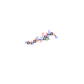 C[C@@H](Cl)[C@@H]1CN(C(=O)c2cc3cc(OCCN(C)C)ccc3[nH]2)c2cc(O)c3cc(CNC(=O)CCNS(=O)(=O)c4ccc(-c5ncc(-c6ccc(N(C)C)cc6)o5)cc4)ccc3c21